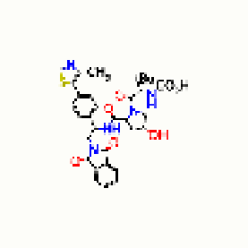 Cc1ncsc1-c1ccc(C(CN2C(=O)c3ccccc3C2=O)NC(=O)[C@@H]2C[C@@H](O)CN2C(=O)C(NC(=O)O)C(C)(C)C)cc1